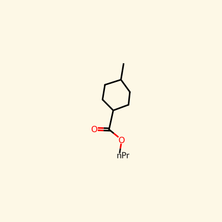 CCCOC(=O)C1CCC(C)CC1